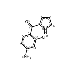 Nc1ccc(C(=O)c2ccc[nH]2)c(Cl)c1